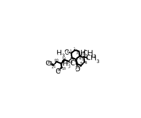 C[C@H]1CC[C@H]2C(C)(C)CC3OC3[C@]2(C)[C@H]1CC=C(C=O)CC=O